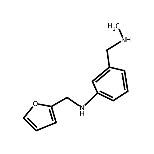 CNCc1cccc(NCc2ccco2)c1